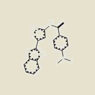 C=C(Nc1cc(-c2nc3ccccc3[nH]2)n[nH]1)c1ccc(N(C)C)cc1